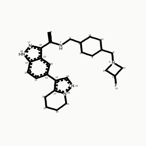 C=C(NCC1CCC(CN2CC(F)C2)CC1)c1n[nH]c2ccc(-c3cnn4c3CCCC4)cc12